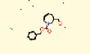 O=C[C@@H]1CC=CCN(C(=O)OCc2ccccc2)C1